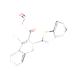 O=COC(=O)C1=C(O)c2ccccc2CC1c1nc2ccccc2s1